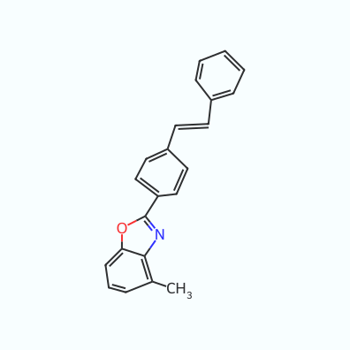 Cc1cccc2oc(-c3ccc(C=Cc4ccccc4)cc3)nc12